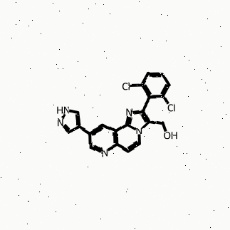 OCc1c(-c2c(Cl)cccc2Cl)nc2c3cc(-c4cn[nH]c4)cnc3ccn12